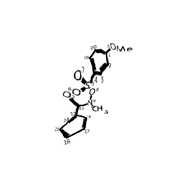 COc1ccc(S(=O)(=O)ON(C)C(=O)c2ccccc2)cc1